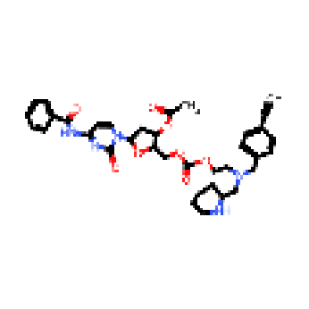 C#Cc1ccc(CN(CCOC(=O)OCC2OC(n3ccc(NC(=O)c4ccccc4)nc3=O)CC2OC(C)=O)CC2CCCCN2)cc1